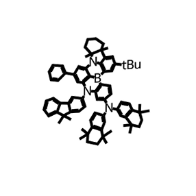 CC(C)(C)c1cc2c3c(c1)C1(C)CCCCC1(C)N3c1cc(-c3ccccc3)cc3c1B2c1ccc(N(c2ccc4c(c2)C(C)(C)CCC4(C)C)c2ccc4c(c2)C(C)(C)CCC4(C)C)cc1N3c1ccc2c(c1)-c1ccccc1C2(C)C